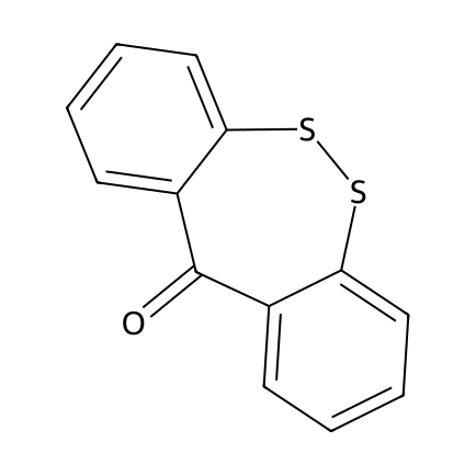 O=C1c2ccccc2SSc2ccccc21